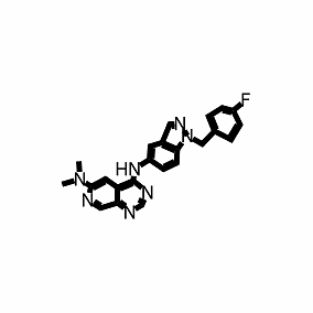 CN(C)c1cc2c(Nc3ccc4c(cnn4Cc4ccc(F)cc4)c3)ncnc2cn1